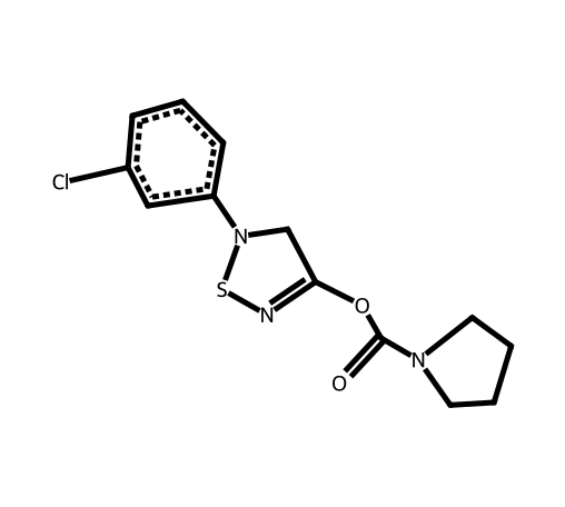 O=C(OC1=NSN(c2cccc(Cl)c2)C1)N1CCCC1